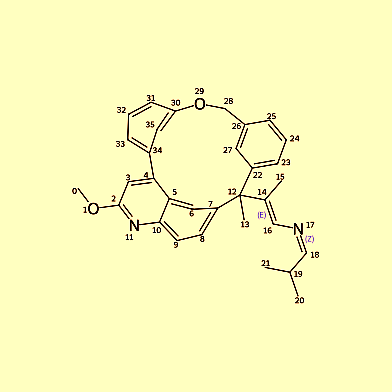 COc1cc2c3cc(ccc3n1)C(C)(/C(C)=C/N=C\C(C)C)c1cccc(c1)COc1cccc-2c1